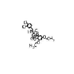 CCOc1cc(OCC)c(OS(=O)(=O)CC(=O)NCc2ccc(Cl)c(Cl)c2)c(OCC)c1